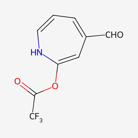 O=CC1=CC=CNC(OC(=O)C(F)(F)F)=C1